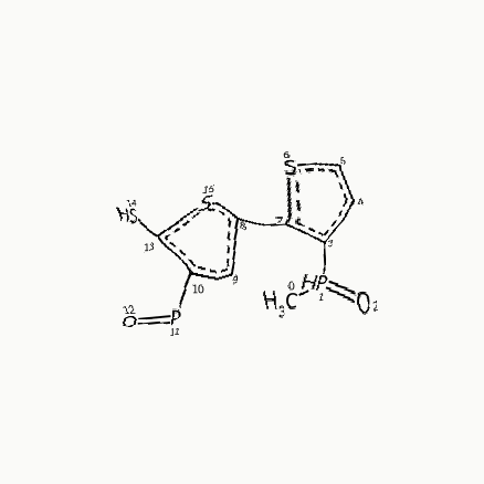 C[PH](=O)c1ccsc1-c1cc(P=O)c(S)s1